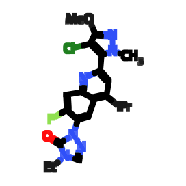 CCn1cnn(-c2cc3c(C(C)C)cc(-c4c(Cl)c(OC)nn4C)nc3cc2F)c1=O